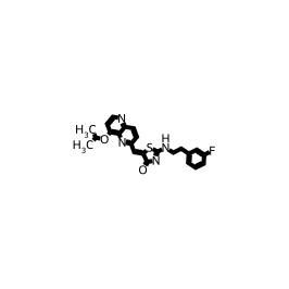 CC(C)Oc1ccnc2ccc(/C=C3\SC(NCCc4cccc(F)c4)=NC3=O)nc12